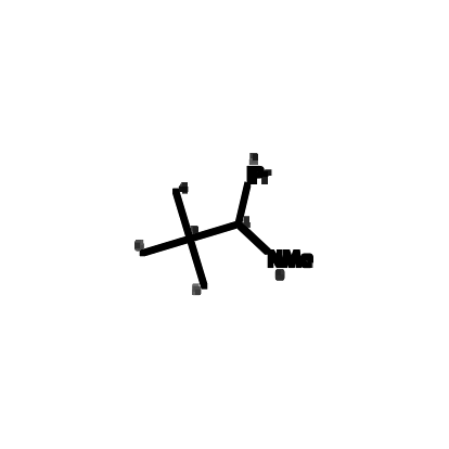 CNC(C(C)C)C(C)(C)C